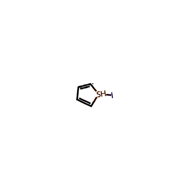 I[SH]1[C]=CC=C1